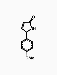 COc1ccc(C2C=CC(=O)N2)cc1